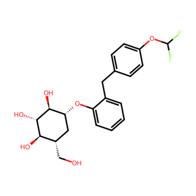 OC[C@H]1C[C@@H](Oc2ccccc2Cc2ccc(OC(F)F)cc2)[C@H](O)[C@@H](O)[C@@H]1O